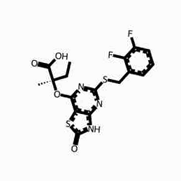 CC[C@@](C)(Oc1nc(SCc2cccc(F)c2F)nc2[nH]c(=O)sc12)C(=O)O